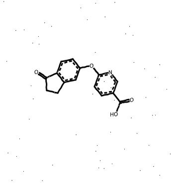 O=C(O)c1ccc(Oc2ccc3c(c2)CCC3=O)nc1